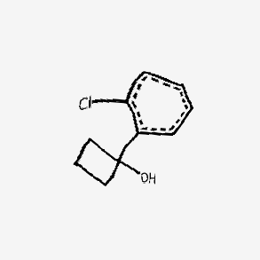 OC1(c2ccccc2Cl)CCC1